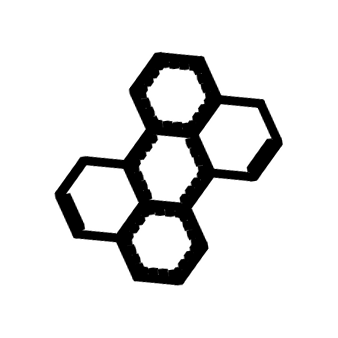 C1=Cc2c3cccc4c3c(c3cccc(c23)C1)CC=C4